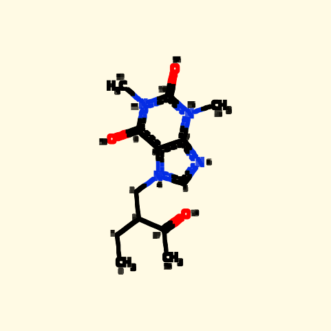 CCC(Cn1cnc2c1c(=O)n(C)c(=O)n2C)C(C)=O